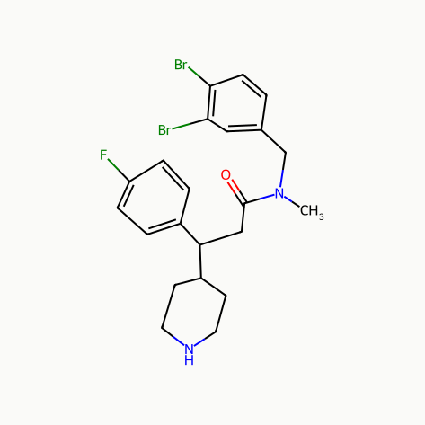 CN(Cc1ccc(Br)c(Br)c1)C(=O)CC(c1ccc(F)cc1)C1CCNCC1